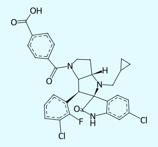 O=C(O)c1ccc(C(=O)N2CC[C@H]3C2[C@H](c2cccc(Cl)c2F)[C@]2(C(=O)Nc4cc(Cl)ccc42)N3CC2CC2)cc1